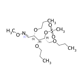 CCCOC[C@@H](OS(C)(=O)=O)[C@H](OCCC)[C@H](/C=N/OC)OCCC